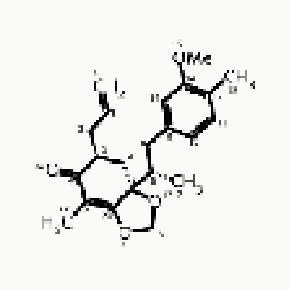 C=CC[C@H]1C[C@]2([C@@H](C)Cc3ccc(C)c(OC)c3)OCOC2=C(C)C1=O